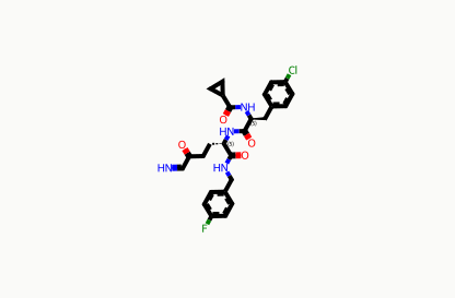 N=CC(=O)CC[C@H](NC(=O)[C@H](Cc1ccc(Cl)cc1)NC(=O)C1CC1)C(=O)NCc1ccc(F)cc1